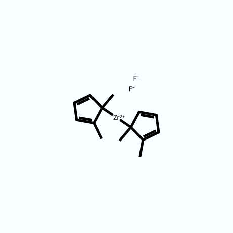 CC1=CC=C[C]1(C)[Zr+2][C]1(C)C=CC=C1C.[F-].[F-]